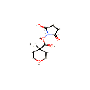 CC1(C(=O)ON2C(=O)CCC2=O)CCOCC1